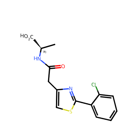 C[C@@H](NC(=O)Cc1csc(-c2ccccc2Cl)n1)C(=O)O